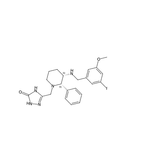 COc1cc(I)cc(CN[C@H]2CCCN(Cc3n[nH]c(=O)[nH]3)[C@H]2c2ccccc2)c1